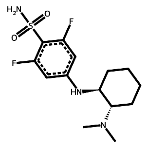 CN(C)[C@H]1CCCC[C@@H]1Nc1cc(F)c(S(N)(=O)=O)c(F)c1